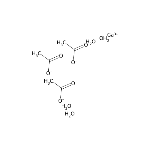 CC(=O)[O-].CC(=O)[O-].CC(=O)[O-].O.O.O.O.[Ga+3]